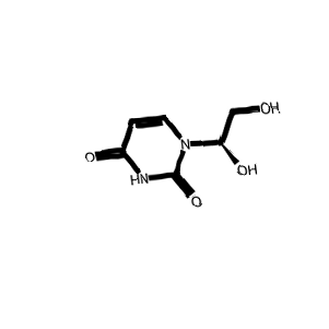 O=c1ccn([C@H](O)CO)c(=O)[nH]1